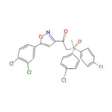 CS(=O)(CC(=O)c1cc(-c2ccc(Cl)c(Cl)c2)on1)(c1ccc(Cl)cc1)c1ccc(Cl)cc1